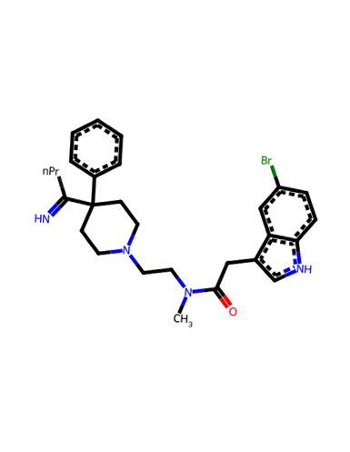 CCCC(=N)C1(c2ccccc2)CCN(CCN(C)C(=O)Cc2c[nH]c3ccc(Br)cc23)CC1